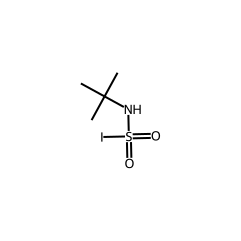 CC(C)(C)NS(=O)(=O)I